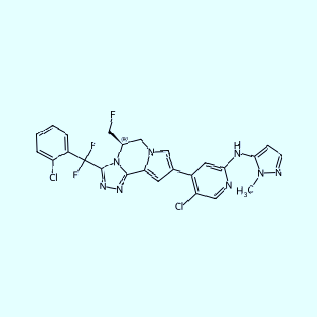 Cn1nccc1Nc1cc(-c2cc3n(c2)C[C@H](CF)n2c-3nnc2C(F)(F)c2ccccc2Cl)c(Cl)cn1